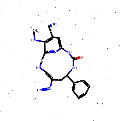 CNc1c(C=N)cc2nc1CN/C=C(\N=N)CC(c1ccccc1)NC(=O)N2